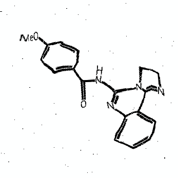 COc1ccc(C(=O)NC2=Nc3ccccc3C3=NCCN23)cc1